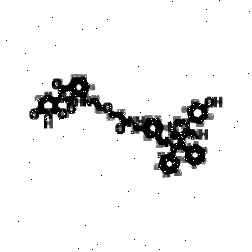 N=c1c2c(-c3ccccc3)c(-c3ccccc3)n(Cc3cccc(CNC(=O)CCOCCNc4cccc5c4C(=O)N(C4CCC(=O)NC4=O)C5=O)c3)c2ncn1[C@H]1CC[C@H](O)CC1